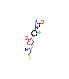 CN1CN(c2ccc(N3C[C@H](CNCC=S)OC3=O)cc2F)CC1=O